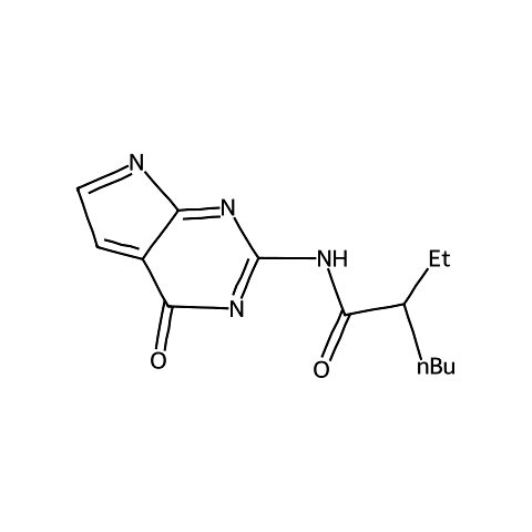 CCCCC(CC)C(=O)NC1=NC(=O)C2=CC=NC2=N1